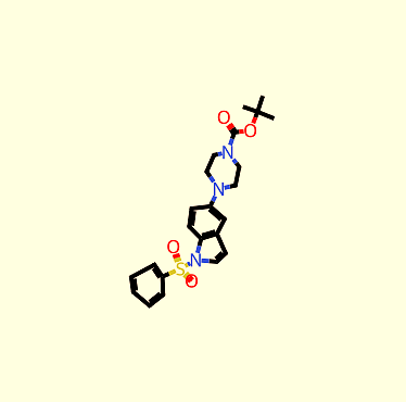 CC(C)(C)OC(=O)N1CCN(c2ccc3c(ccn3S(=O)(=O)c3ccccc3)c2)CC1